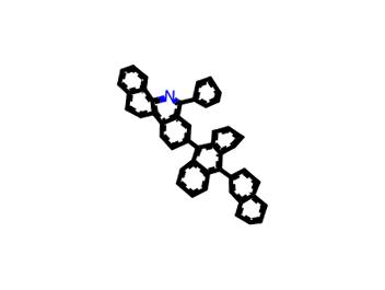 c1ccc(-c2nc3c4ccccc4ccc3c3ccc(-c4c5ccccc5c(-c5ccc6ccccc6c5)c5ccccc45)cc23)cc1